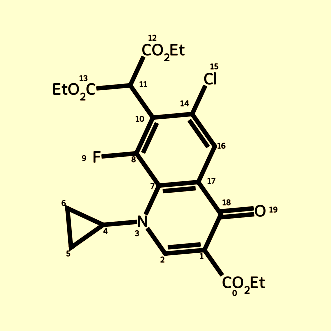 CCOC(=O)c1cn(C2CC2)c2c(F)c(C(C(=O)OCC)C(=O)OCC)c(Cl)cc2c1=O